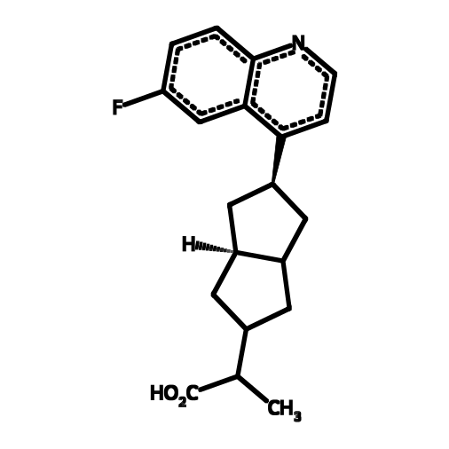 CC(C(=O)O)C1CC2C[C@H](c3ccnc4ccc(F)cc34)C[C@@H]2C1